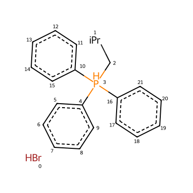 Br.CC(C)C[PH](c1ccccc1)(c1ccccc1)c1ccccc1